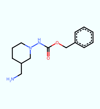 NCC1CCCN(NC(=O)OCc2ccccc2)C1